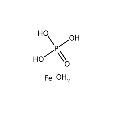 O.O=P(O)(O)O.[Fe]